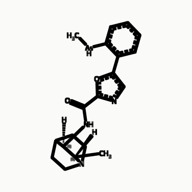 C[AsH]c1ccccc1-c1cnc(C(=O)N[C@@H]2C3CCN(CC3)[C@H]2C)o1